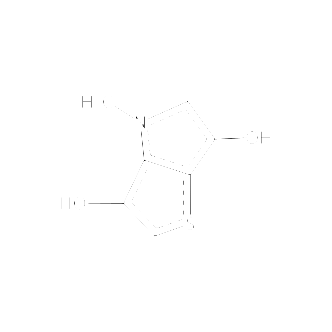 Cn1cc(O)c2scc(O)c21